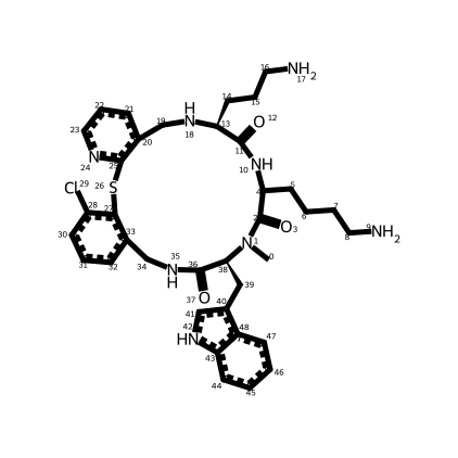 CN1C(=O)C(CCCCN)NC(=O)[C@H](CCCN)NCc2cccnc2Sc2c(Cl)cccc2CNC(=O)[C@@H]1Cc1c[nH]c2ccccc12